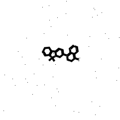 CC1(C)C2=C(CCC=C2)C2=CC=C(C3=c4ccccc4=C(I)CC3)CC21